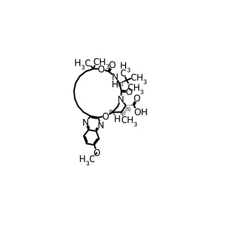 COc1ccc2nc3c(nc2c1)O[C@H]1CN(C(=O)[C@H](C(C)(C)C)NC(=O)OC(C)(C)CCCCCCC3)[C@H](C(=O)O)[C@@H]1C